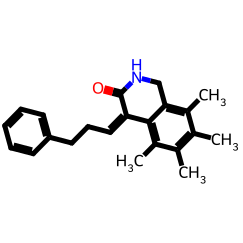 Cc1c(C)c(C)c2c(c1C)CNC(=O)/C2=C\CCc1ccccc1